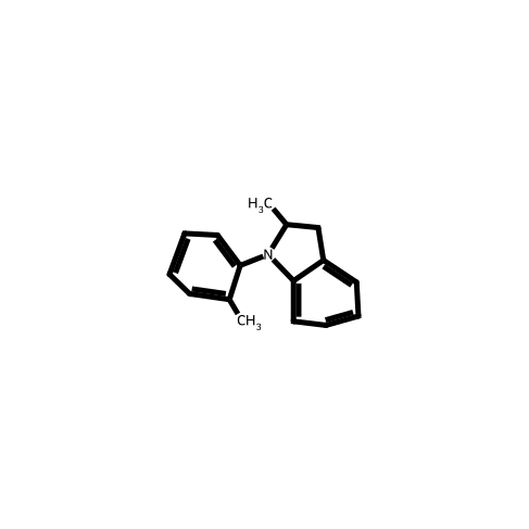 Cc1ccccc1N1c2ccccc2CC1C